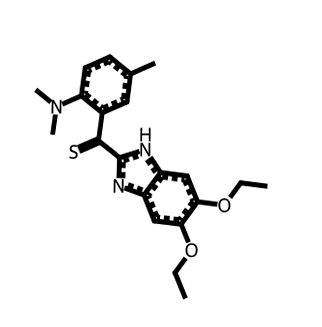 CCOc1cc2nc(C(=S)c3cc(C)ccc3N(C)C)[nH]c2cc1OCC